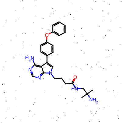 CC(C)(N)CNC(=O)CCCn1cc(-c2ccc(Oc3ccccc3)cc2)c2c(N)ncnc21